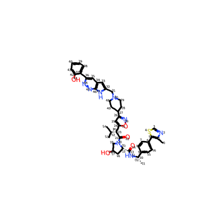 Cc1ncsc1-c1ccc([C@H](C)NC(=O)[C@@H]2C[C@@H](O)CN2C(=O)[C@@H](c2cc(C3CCN(Cc4cc5cc(-c6ccccc6O)nnc5[nH]4)CC3)no2)C(C)C)cc1